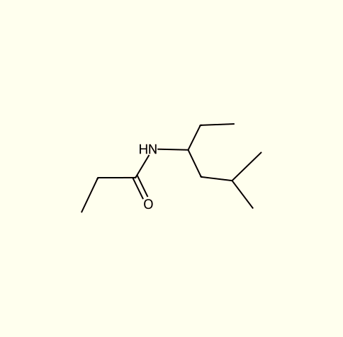 CCC(=O)NC(CC)CC(C)C